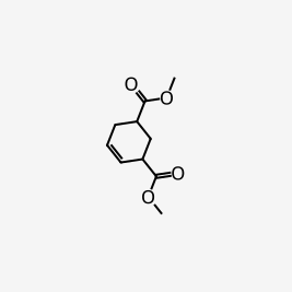 COC(=O)C1C=CCC(C(=O)OC)C1